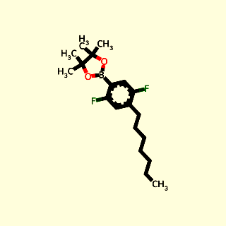 CCCCCCCc1cc(F)c(B2OC(C)(C)C(C)(C)O2)cc1F